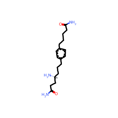 NC(=O)CCCCc1ccc(CCC[C@@H](N)CCC(N)=O)cc1